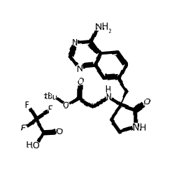 CC(C)(C)OC(=O)CN[C@@]1(Cc2ccc3c(N)ncnc3c2)CCNC1=O.O=C(O)C(F)(F)F